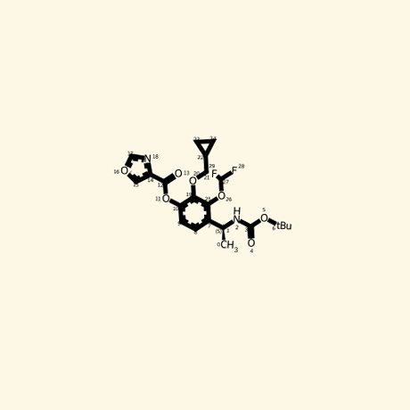 C[C@H](NC(=O)OC(C)(C)C)c1ccc(OC(=O)c2cocn2)c(OCC2CC2)c1OC(F)F